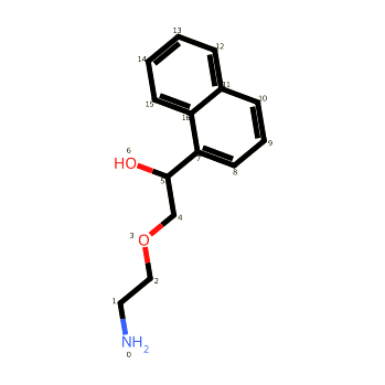 NCCOCC(O)c1cccc2ccccc12